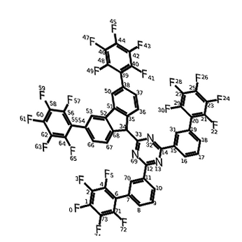 Fc1c(F)c(F)c(-c2cccc(-c3nc(-c4cccc(-c5c(F)c(F)c(F)c(F)c5F)c4)nc(C4c5ccc(-c6c(F)c(F)c(F)c(F)c6F)cc5-c5cc(-c6c(F)c(F)c(F)c(F)c6F)ccc54)n3)c2)c(F)c1F